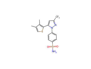 Cc1csc(-c2cc(C(F)(F)F)nn2-c2ccc(S(N)(=O)=O)cc2)c1C